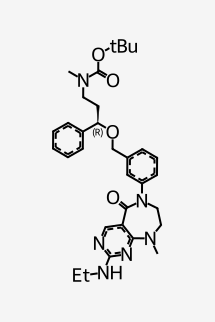 CCNc1ncc2c(n1)N(C)CCN(c1cccc(CO[C@H](CCN(C)C(=O)OC(C)(C)C)c3ccccc3)c1)C2=O